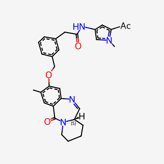 CC(=O)c1cc(NC(=O)Cc2cccc(COc3cc4c(cc3C)C(=O)N3CCCC[C@H]3C=N4)c2)cn1C